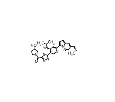 C/N=C\c1cnn2c(-c3cc(NC(C)C)c(-c4nnc(C(=O)N5CCC(O)C5)s4)cn3)ccc2c1